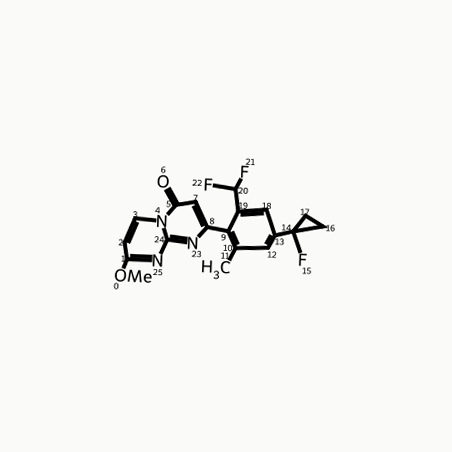 COc1ccn2c(=O)cc(-c3c(C)cc(C4(F)CC4)cc3C(F)F)nc2n1